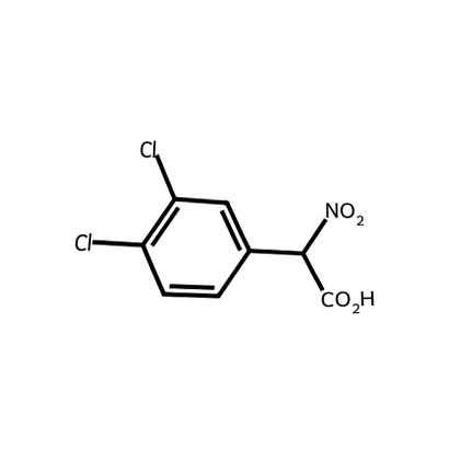 O=C(O)C(c1ccc(Cl)c(Cl)c1)[N+](=O)[O-]